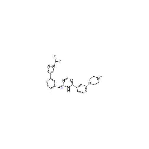 C=N/C(=C\c1cc(-c2cnn(C(F)F)c2)ccc1C)NC(=O)c1ccnc(N2CCN(C)CC2)c1